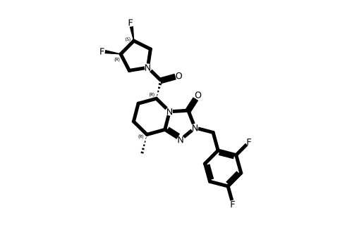 C[C@@H]1CC[C@H](C(=O)N2C[C@@H](F)[C@@H](F)C2)n2c1nn(Cc1ccc(F)cc1F)c2=O